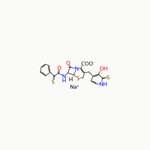 O=C([O-])C1=C(Cc2cc[nH]c(=S)c2O)CS[C@H]2C(NC(=O)C(=S)c3ccccc3)C(=O)N12.[Na+]